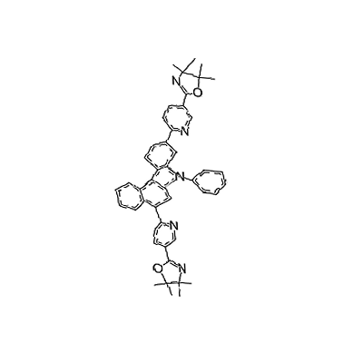 CC1(C)N=C(c2ccc(-c3ccc4c5c6ccccc6c(-c6ccc(C7=NC(C)(C)C(C)(C)O7)cn6)cc5n(-c5ccccc5)c4c3)nc2)OC1(C)C